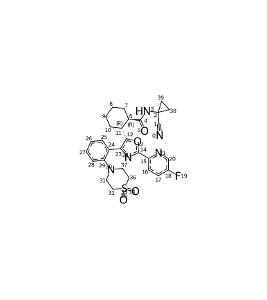 N#CC1(NC(=O)[C@@H]2CCCC[C@H]2c2oc(-c3ccc(F)cn3)nc2-c2ccccc2N2CCS(=O)(=O)CC2)CC1